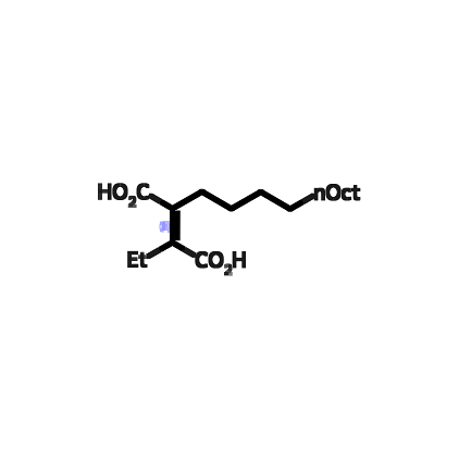 CCCCCCCCCCCC/C(C(=O)O)=C(/CC)C(=O)O